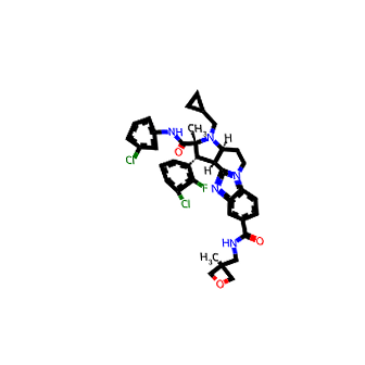 CC1(CNC(=O)c2ccc3c(c2)nc2n3CC[C@H]3[C@@H]2[C@H](c2cccc(Cl)c2F)[C@](C)(C(=O)Nc2cccc(Cl)c2)N3CC2CC2)COC1